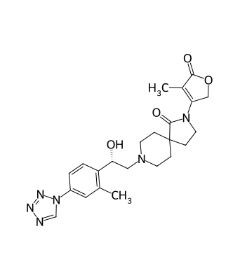 CC1=C(N2CCC3(CCN(C[C@@H](O)c4ccc(-n5cnnn5)cc4C)CC3)C2=O)COC1=O